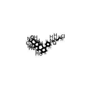 NC(=O)C1C(=O)[C@@]2(O)C(O)=C3C(=O)c4c(O)ccc(-c5ccc(NC(=O)NCCCCl)cc5)c4C[C@H]3C[C@H]2CC1O